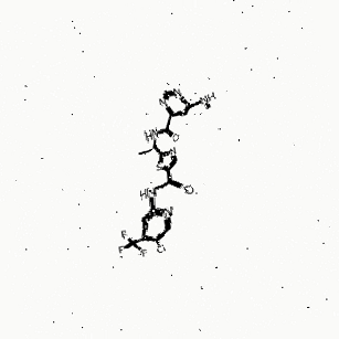 CNc1cc(C(=O)N[C@H](C)c2ncc(C(=O)Nc3cc(C(F)(F)F)c(Cl)cn3)s2)ncn1